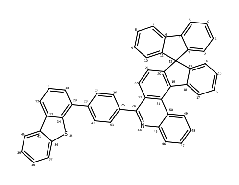 c1ccc2c(c1)-c1ccccc1C21c2ccccc2-c2c1ccc1c(-c3ccc(-c4cccc5c4sc4ccccc45)cc3)nc3ccccc3c21